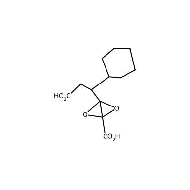 O=C(O)CC(C1CCCCC1)C12OC1(C(=O)O)O2